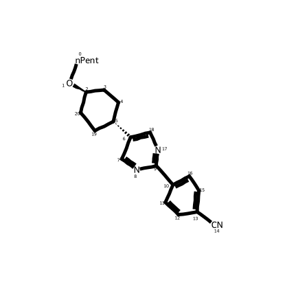 CCCCCO[C@H]1CC[C@H](c2cnc(-c3ccc(C#N)cc3)nc2)CC1